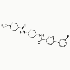 CN1CCC(C(=O)N[C@H]2CC[C@@H](NC(=O)c3ccc(-c4cccc(F)c4)nc3)CC2)CC1